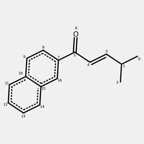 CC(C)C=CC(=O)c1ccc2ccccc2c1